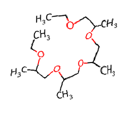 CCOCC(C)OCC(C)OCC(C)OCC(C)OCC